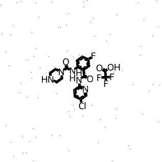 O=C(Nc1ccc(Cl)cn1)c1cc(F)ccc1NC(=O)N1CCNCC1.O=C(O)C(F)(F)F